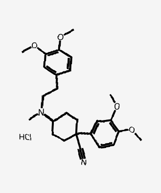 COc1ccc(CCN(C)C2CCC(C#N)(c3ccc(OC)c(OC)c3)CC2)cc1OC.Cl